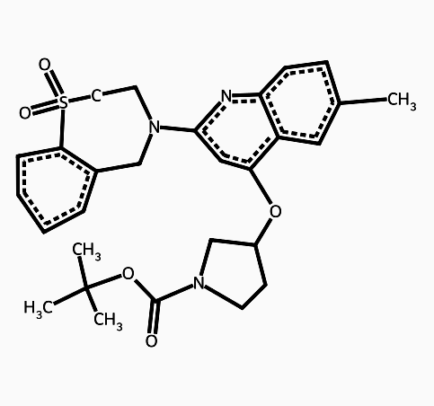 Cc1ccc2nc(N3CCS(=O)(=O)c4ccccc4C3)cc(OC3CCN(C(=O)OC(C)(C)C)C3)c2c1